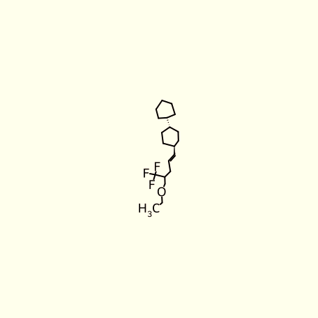 CCOCC(CC=C[C@H]1CC[C@H](C2CCCCC2)CC1)C(F)(F)F